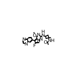 COc1nc(NC2CC(C)(NC(C)=O)C2)nn2cc(F)c(-c3ccc4nccnc4c3)c12